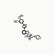 CC(C)OC1CC=C(c2ncc(-c3cccc4c3CC[C@@H]4NS(=O)(=O)CCN3CCOCC3)s2)C=C1C#N